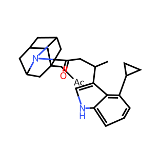 CC(=O)CC12CC3CC(C1)N(C(=O)CC(C)c1c[nH]c4cccc(C5CC5)c14)C(C3)C2